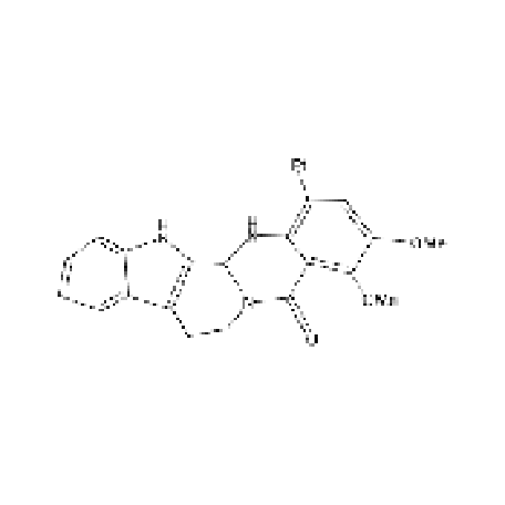 CCc1cc(OC)c(OC)c2c1NC1c3[nH]c4ccccc4c3CCN1C2=O